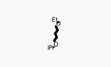 CCOCCCCCOC(C)C